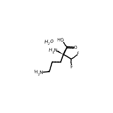 NCCC[C@](N)(C(=O)O)C(F)F.O